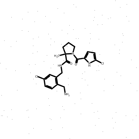 CC1(C(=O)NCc2cc(Cl)ccc2CN)CCCN1C(=O)c1ccc(Cl)[nH]1